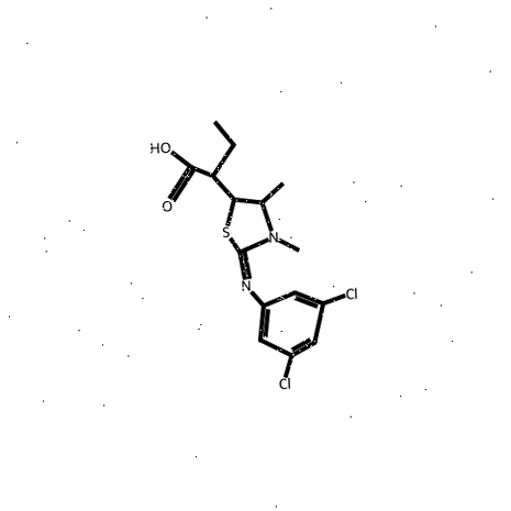 CCC(C(=O)O)C1SC(=Nc2cc(Cl)cc(Cl)c2)N(C)C1C